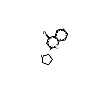 O=c1cc([C@@H]2CCCO2)oc2ccccc12